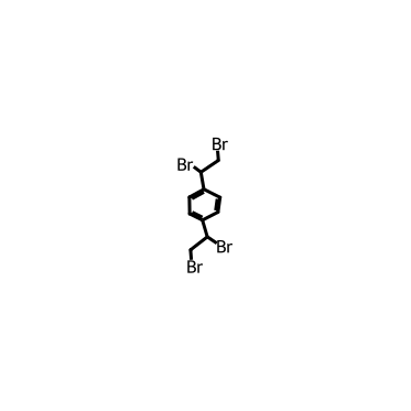 BrCC(Br)c1ccc(C(Br)CBr)cc1